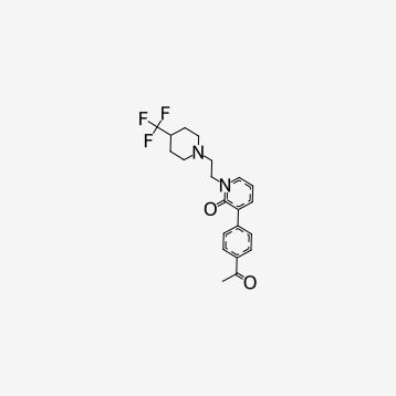 CC(=O)c1ccc(-c2cccn(CCN3CCC(C(F)(F)F)CC3)c2=O)cc1